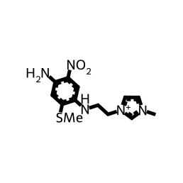 CSc1cc(N)c([N+](=O)[O-])cc1NCC[n+]1ccn(C)c1